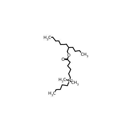 CCCCCCC(CCCC)COC(=O)CCCCC[N+](C)(C)CCCCC